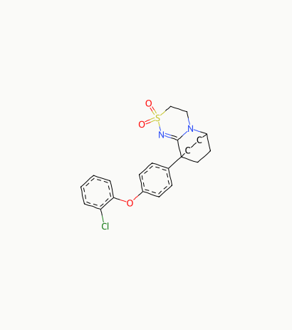 O=S1(=O)CCN2C(=N1)C1(c3ccc(Oc4ccccc4Cl)cc3)CCC2CC1